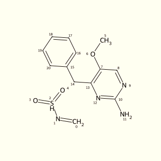 C=N[SH](=O)=O.COc1cnc(N)nc1Cc1ccccc1